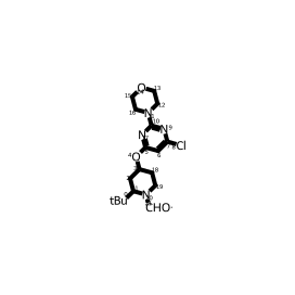 CC(C)(C)C1CC(Oc2cc(Cl)nc(N3CCOCC3)n2)CCN1[C]=O